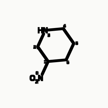 O=[N+]([O-])C1[CH]NCCC1